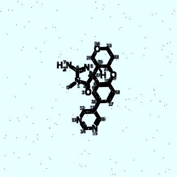 CN1C(=O)[C@]2(N=C1N)c1cc(-c3cncnc3)ccc1OC1CCOC[C@@H]12